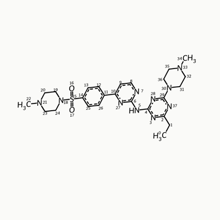 CCc1nc(Nc2nccc(-c3ccc(S(=O)(=O)N4CCN(C)CC4)cc3)n2)nc(N2CCN(C)CC2)n1